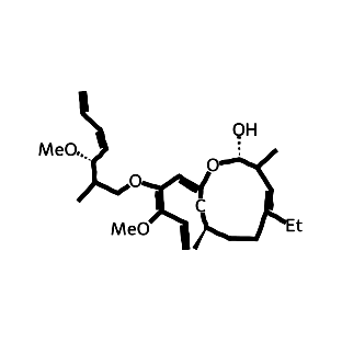 C=C/C=C\[C@@H](OC)C(C)COC(/C=C1\C[C@H](C)CC/C(CC)=C\C(C)[C@@H](O)O1)=C(/C=C)OC